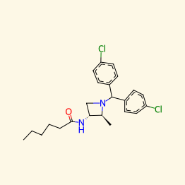 CCCCCC(=O)N[C@@H]1CN(C(c2ccc(Cl)cc2)c2ccc(Cl)cc2)[C@H]1C